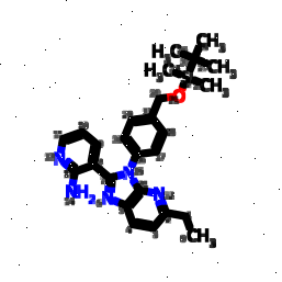 CCc1ccc2nc(-c3cccnc3N)n(-c3ccc(CO[Si](C)(C)C(C)(C)C)cc3)c2n1